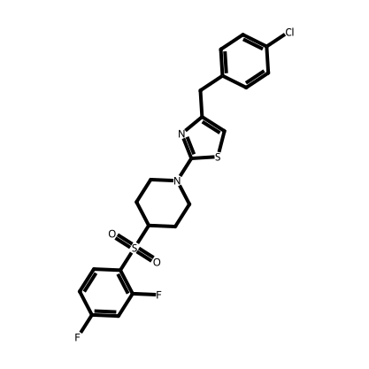 O=S(=O)(c1ccc(F)cc1F)C1CCN(c2nc(Cc3ccc(Cl)cc3)cs2)CC1